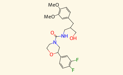 COc1ccc(CC(CO)CNC(=O)N2CCOC(c3ccc(F)c(F)c3)C2)cc1OC